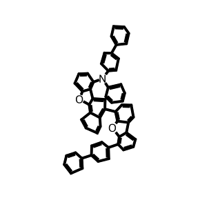 c1ccc(-c2ccc(-c3cccc4c3oc3c(-c5cc6c(oc7cccc(N(c8ccccc8)c8ccc(-c9ccccc9)cc8)c76)c6ccccc56)cccc34)cc2)cc1